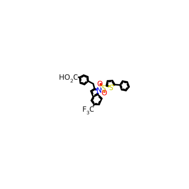 O=C(O)c1ccc(Cc2cc3cc(C(F)(F)F)ccc3n2S(=O)(=O)c2ccc(-c3ccccc3)s2)cc1